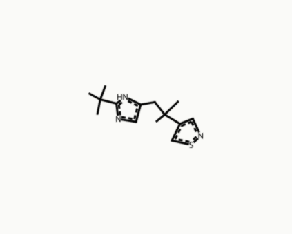 CC(C)(C)c1ncc(CC(C)(C)c2cnsc2)[nH]1